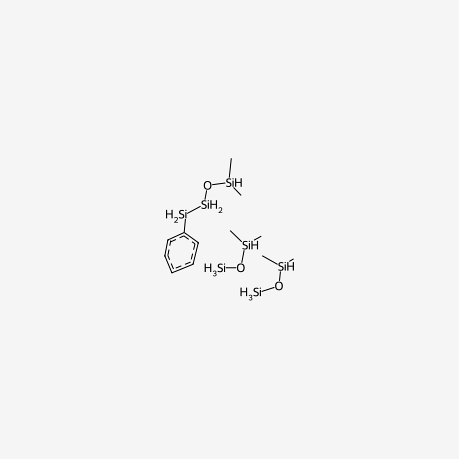 C[SiH](C)O[SiH2][SiH2]c1ccccc1.C[SiH](C)O[SiH3].C[SiH](C)O[SiH3]